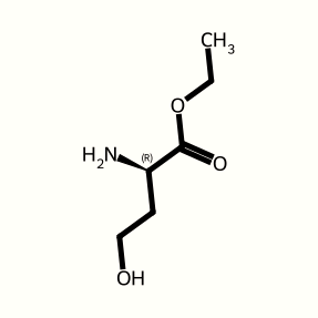 CCOC(=O)[C@H](N)CCO